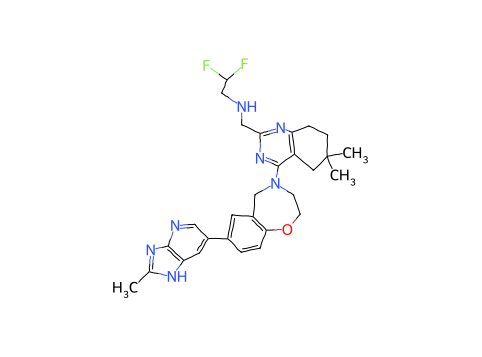 Cc1nc2ncc(-c3ccc4c(c3)CN(c3nc(CNCC(F)F)nc5c3CC(C)(C)CC5)CCO4)cc2[nH]1